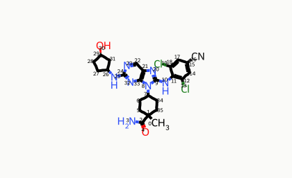 CC1(C(N)=O)CCC(n2c(Nc3c(Cl)cc(C#N)cc3Cl)nc3cnc(NC4CC[C@@H](O)C4)nc32)CC1